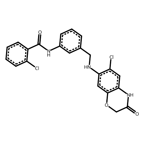 O=C1COc2cc(NCc3cccc(NC(=O)c4ccccc4Cl)c3)c(Cl)cc2N1